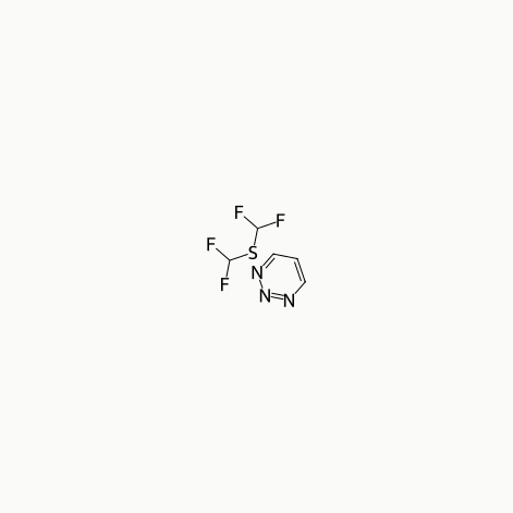 FC(F)SC(F)F.c1cnnnc1